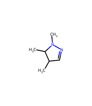 CC1C=NN(C)C1C